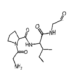 CCC(C)C(NC(=O)C1CCCN1C(=O)CN)C(=O)NC[C]=O